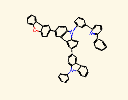 c1ccc(-c2cccc(-c3cccc(-n4c5ccc(-c6ccc7oc8ccccc8c7c6)cc5c5cc(-c6ccc7c(c6)c6ccccc6n7-c6ccccc6)ccc54)c3)n2)cc1